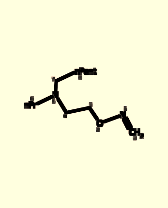 C=NOCCN(CCC)CCCCCC